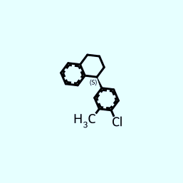 Cc1cc([C@@H]2CCCc3ccccc32)ccc1Cl